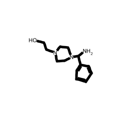 NC(c1cc[c]cc1)N1CCN(CCO)CC1